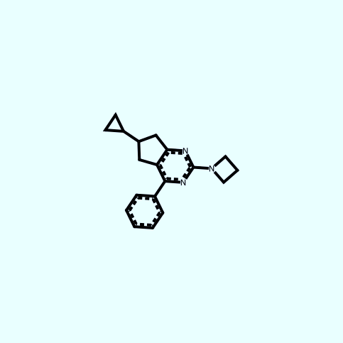 c1ccc(-c2nc(N3CCC3)nc3c2CC(C2CC2)C3)cc1